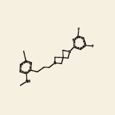 CNc1ccc(C)cc1CCCN1CC2(C1)CN(c1cc(F)cc(F)n1)C2